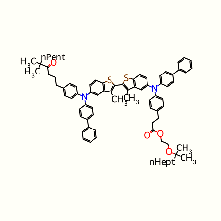 CCCCCCCC(C)(C)OCCOC(=O)CCc1ccc(N(c2ccc(-c3ccccc3)cc2)c2ccc3sc(-c4sc5ccc(N(c6ccc(CCCC(=O)C(C)(C)CCCCC)cc6)c6ccc(-c7ccccc7)cc6)cc5c4C)c(C)c3c2)cc1